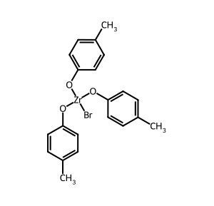 Cc1ccc([O][Zr]([Br])([O]c2ccc(C)cc2)[O]c2ccc(C)cc2)cc1